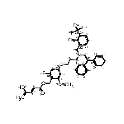 C=C(O)/C=C/C(=O)OCc1c(F)cc(OCCCN(Cc2cccc(C(F)(F)F)c2Cl)CC(C2=CCCC=C2)c2ccccc2)cc1SC